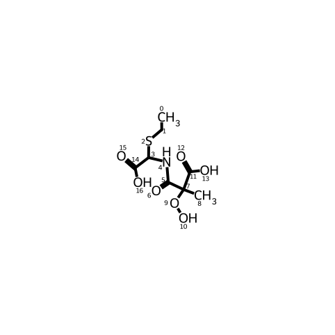 CCSC(NC(=O)C(C)(OO)C(=O)O)C(=O)O